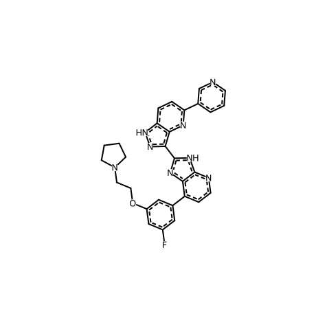 Fc1cc(OCCN2CCCC2)cc(-c2ccnc3[nH]c(-c4n[nH]c5ccc(-c6cccnc6)nc45)nc23)c1